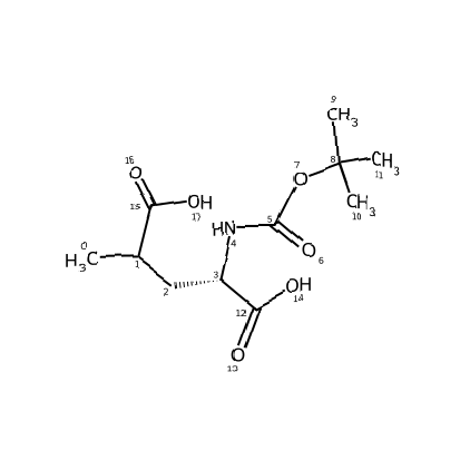 CC(C[C@H](NC(=O)OC(C)(C)C)C(=O)O)C(=O)O